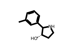 Cc1cccc(C2NCC[C@@H]2O)c1